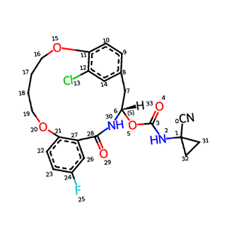 N#CC1(NC(=O)O[C@H]2Cc3ccc(c(Cl)c3)OCCCCOc3ccc(F)cc3C(=O)N2)CC1